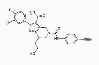 N#Cc1ccc(NC(=O)N2Cc3c(C(N)=O)c(-c4ccc(F)c(Cl)c4)nn3C(CCO)C2)cc1